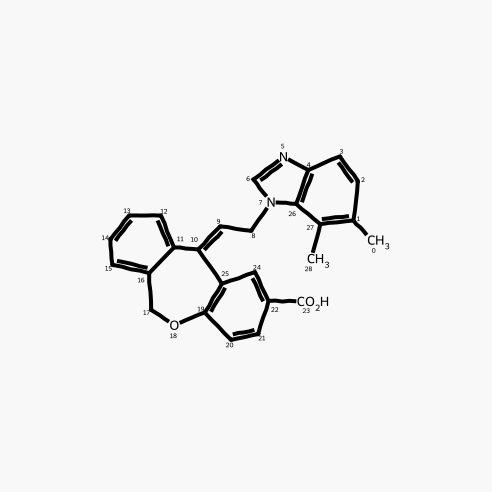 Cc1ccc2ncn(CC=C3c4ccccc4COc4ccc(C(=O)O)cc43)c2c1C